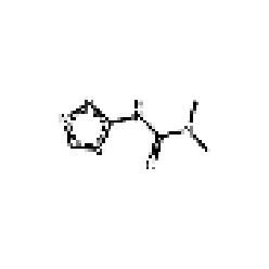 CN(C)C(=O)Nc1nncs1